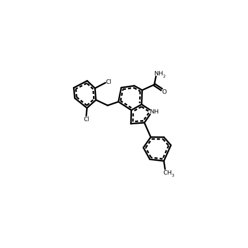 Cc1ccc(-c2cc3c(Cc4c(Cl)cccc4Cl)ccc(C(N)=O)c3[nH]2)cc1